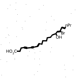 CCCC=CC(Br)=CC(O)CCCCCCC=CC#CC#CCCC(=O)O